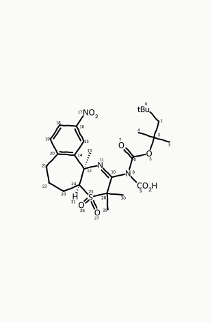 CC(C)(C)CC(C)(C)OC(=O)N(C(=O)O)C1=N[C@]2(C)c3cc([N+](=O)[O-])ccc3CCC[C@@H]2S(=O)(=O)C1(C)C